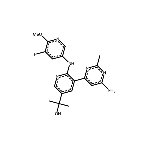 COc1ncc(Nc2ncc(C(C)(C)O)cc2-c2cc(N)nc(C)n2)cc1F